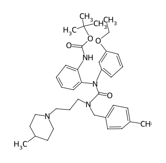 [CH]c1ccc(CN(CCCN2CCC(C)CC2)C(=O)N(c2cccc(OCC)c2)c2ccccc2NC(=O)OC(C)(C)C)cc1